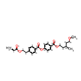 C=CC(=O)OCCc1ccc(C(=O)Oc2ccc(C(=O)OCCC(C)CCOC)cc2)cc1